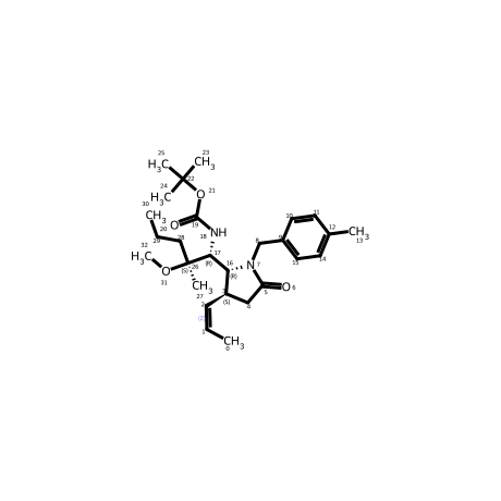 C/C=C\[C@@H]1CC(=O)N(Cc2ccc(C)cc2)[C@H]1[C@@H](NC(=O)OC(C)(C)C)[C@](C)(CCC)OC